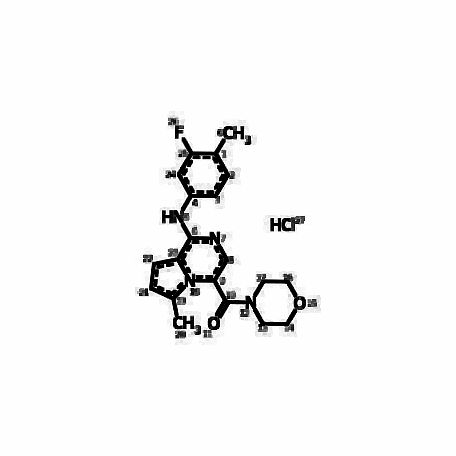 Cc1ccc(Nc2ncc(C(=O)N3CCOCC3)n3c(C)ccc23)cc1F.Cl